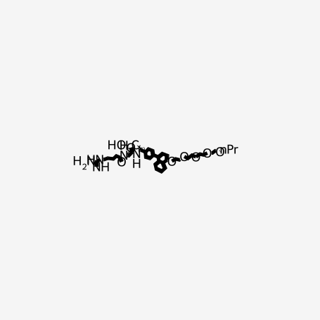 CCCOCCOCCOCCOCCOc1ccc(C2=CCC([C@H](CC(=O)O)NC(=O)CNC(=O)CCCCNC(=N)N)C=C2)c2ccccc12